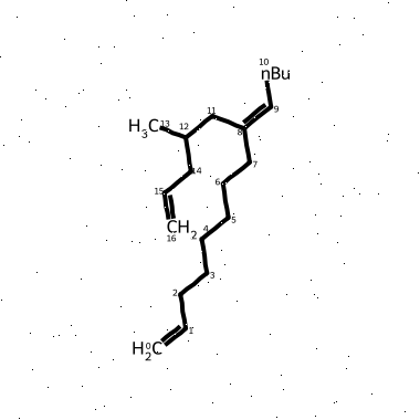 C=CCCCCCCC(=CCCCC)CC(C)CC=C